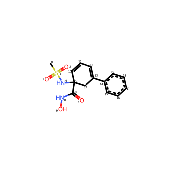 CS(=O)(=O)NC1(C(=O)NO)C=CC=C(c2ccccc2)C1